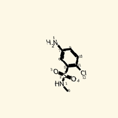 CNS(=O)(=O)c1cc(N)ccc1Cl